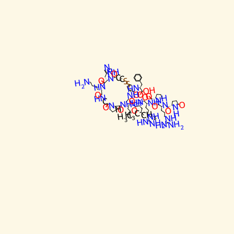 CCCC(NC(=O)[C@H](CC(C)C)NC(=O)[C@H](CCCNC(=N)N)NC(=O)[C@@H]1CCCN1C(=O)[C@H](CCCNC(=N)N)NC(=O)[C@@H]1CCC(=O)N1)[C@@H]1NC(=O)[C@@H]2CCCN2C(=O)CNC(=O)[C@H](CCCCN)NC(=O)[C@H](Cc2cnc[nH]2)NC(=O)CCSSC[C@@H](C(=O)N[C@@H](Cc2ccccc2)C(=O)O)NC1=O